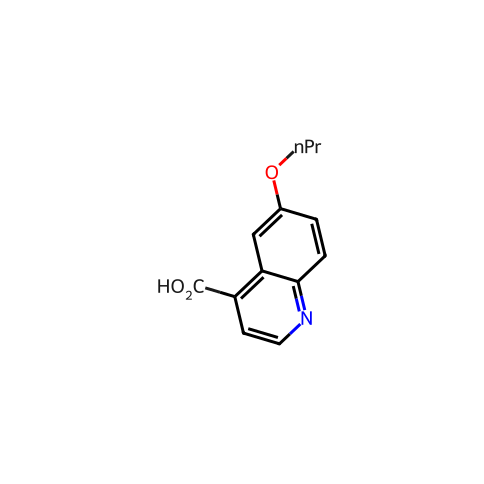 CCCOc1ccc2nccc(C(=O)O)c2c1